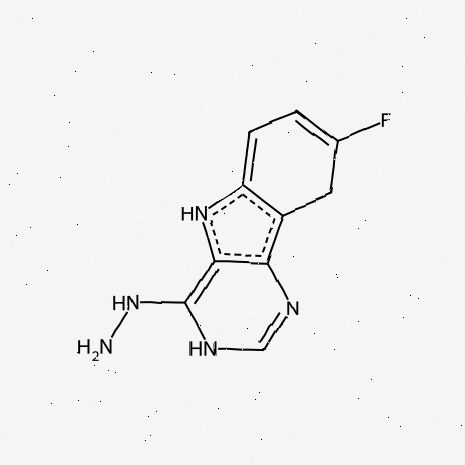 NNC1=c2[nH]c3c(c2N=CN1)CC(F)=CC=3